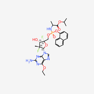 CCOc1nc(N)nc2c1ncn2[C@H]1O[C@](F)(COP(=O)(NC(C)C(=O)OC(C)C)Oc2cccc3ccccc23)[C@@H](O)[C@@]1(C)F